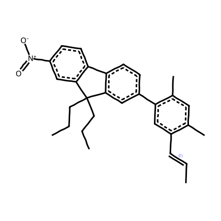 C/C=C/c1cc(-c2ccc3c(c2)C(CCC)(CCC)c2cc([N+](=O)[O-])ccc2-3)c(C)cc1C